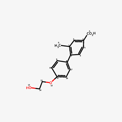 Cc1cc(C(=O)O)ccc1-c1ccc(OCCO)cc1